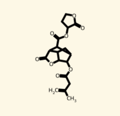 C=C(C)CC(=O)OC1C2CC3C1OC(=O)C3C2C(=O)OC1CCOC1=O